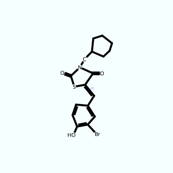 O=C1S/C(=C\c2ccc(O)c(Br)c2)C(=O)N1CC1CCCCC1